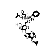 CC(C)OC(=O)[C@H](C)NP(=O)(OC[C@H]1O[C@@H](n2cnc3c(NC4CC4)ncnc32)[C@](C)(F)[C@@H]1O)Oc1ccccc1